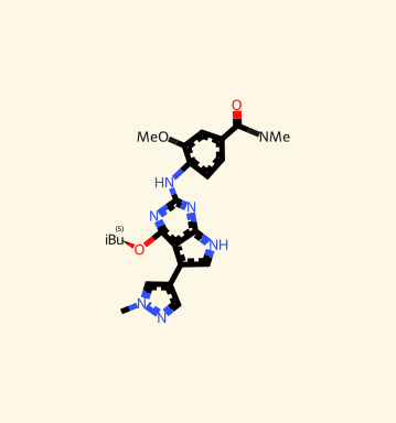 CC[C@H](C)Oc1nc(Nc2ccc(C(=O)NC)cc2OC)nc2[nH]cc(-c3cnn(C)c3)c12